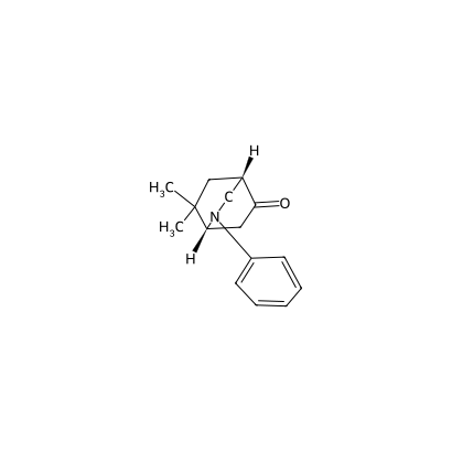 CC1(C)C[C@H]2CN(c3ccccc3)[C@@H]1CC2=O